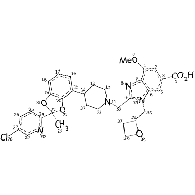 COc1cc(C(=O)O)cc2c1nc(CN1CCC(c3cccc4c3OC(C)(c3ccc(Cl)cn3)O4)CC1)n2CC1CCO1